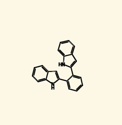 c1ccc(-c2cc3ccccc3[nH]2)c(-c2cc3ccccc3[nH]2)c1